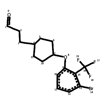 O=CCCC1CCC(Oc2cccc(Br)c2C(F)(F)F)CC1